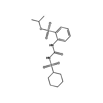 CC(C)OS(=O)(=O)c1ccccc1NC(=O)NS(=O)(=O)C1CCCCC1